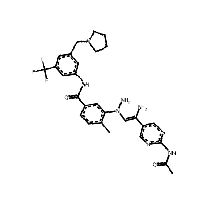 CC(=O)Nc1ncc(/C(N)=C/N(N)c2cc(C(=O)Nc3cc(CN4CCCC4)cc(C(F)(F)F)c3)ccc2C)cn1